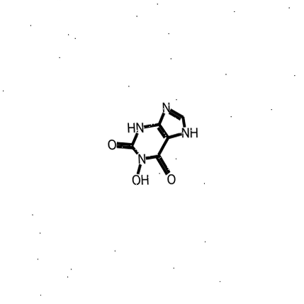 O=c1[nH]c2nc[nH]c2c(=O)n1O